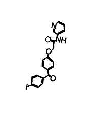 O=C(COc1ccc(C(=O)c2ccc(I)cc2)cc1)Nc1cccnc1